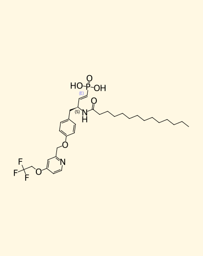 CCCCCCCCCCCCCC(=O)N[C@H](/C=C/P(=O)(O)O)Cc1ccc(OCc2cc(OCC(F)(F)F)ccn2)cc1